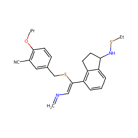 C=N/C=C(\SCc1ccc(OC(C)C)c(C#N)c1)c1cccc2c1CCC2NSCC